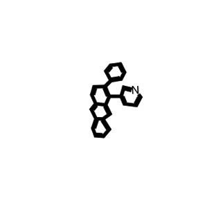 c1ccc(-c2ccc3cc4ccccc4cc3c2-c2cccnc2)cc1